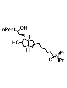 CCCCC[C@H](O)/C=C/[C@@H]1[C@H]2CC(CCCCCC(=O)N(C(C)C)C(C)C)=C[C@H]2C[C@H]1O